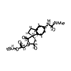 CNC(=O)Nc1ccc2c(c1)CC[C@]21SC(=O)N(CC(=O)OC(C)(C)C)C1=O